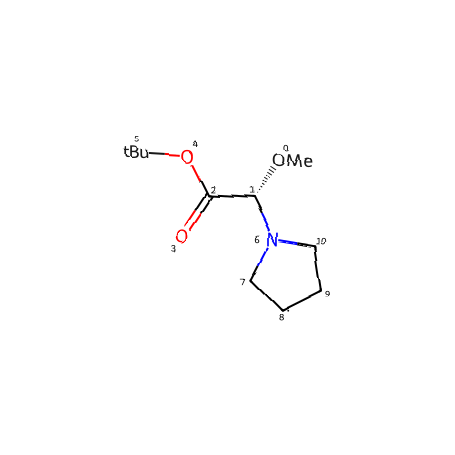 CO[C@@H](C(=O)OC(C)(C)C)N1C[CH]CC1